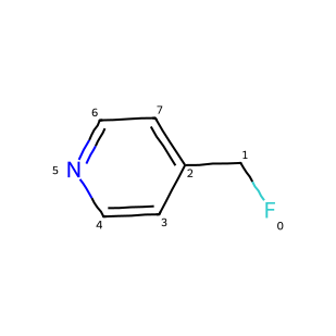 FCc1ccncc1